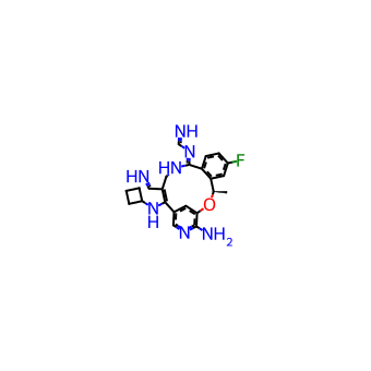 C[C@H]1Oc2cc(cnc2N)/C(NC2CCC2)=C(/C=N)CN/C(=N\C=N)c2ccc(F)cc21